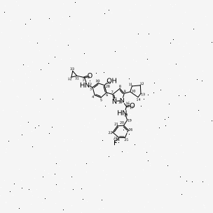 O=C(Nc1ccc(-c2cc(C3CCCC3)n(C(=O)NCc3ccc(F)cc3)n2)c(O)c1)C1CC1